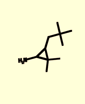 CC(C)(C)CC1C(N)C1(C)C